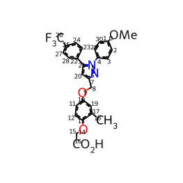 COc1ccc(-n2nc(COc3ccc(OCC(=O)O)c(C)c3)cc2-c2ccc(C(F)(F)F)cc2)cc1